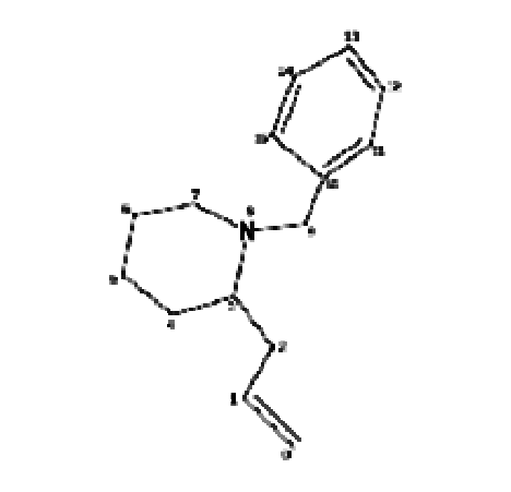 C=CCC1CCCCN1Cc1ccccc1